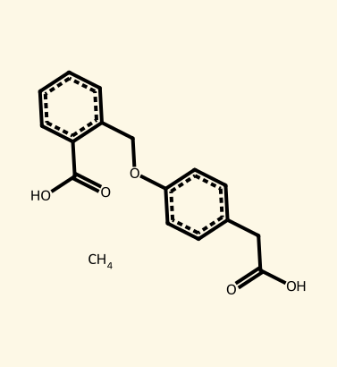 C.O=C(O)Cc1ccc(OCc2ccccc2C(=O)O)cc1